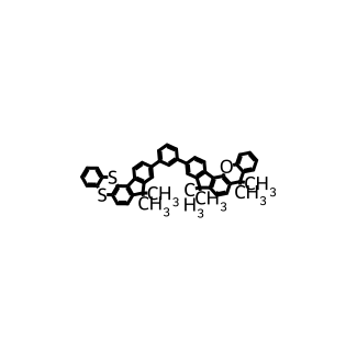 CC1(C)c2ccccc2Oc2c1ccc1c2-c2ccc(-c3cccc(-c4ccc5c(c4)C(C)(C)c4ccc6c(c4-5)Sc4ccccc4S6)c3)cc2C1(C)C